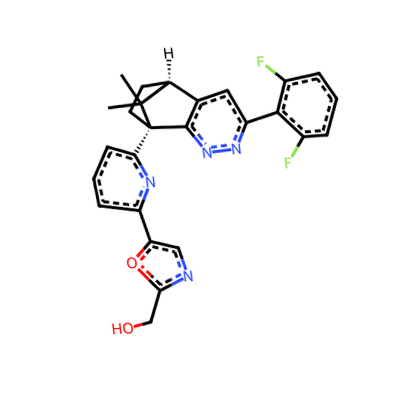 CC1(C)[C@H]2CC[C@]1(c1cccc(-c3cnc(CO)o3)n1)c1nnc(-c3c(F)cccc3F)cc12